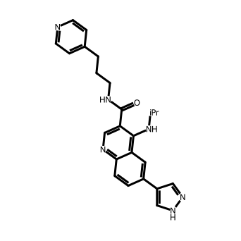 CC(C)Nc1c(C(=O)NCCCc2ccncc2)cnc2ccc(-c3cn[nH]c3)cc12